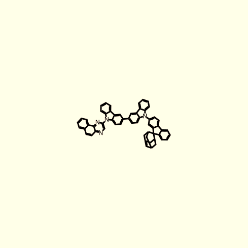 C1=C2CC3CC1CC(C2)C31c2ccccc2-c2ccc(-n3c4ccccc4c4cc(-c5ccc6c(c5)c5ccccc5n6-c5cnc6ccc7ccccc7c6n5)ccc43)cc21